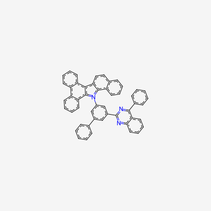 c1ccc(-c2cc(-c3nc(-c4ccccc4)c4ccccc4n3)cc(-n3c4c5ccccc5ccc4c4c5ccccc5c5ccccc5c43)c2)cc1